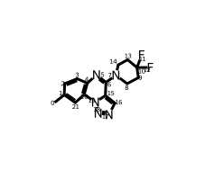 Cc1ccc2nc(N3CCC(F)(F)CC3)c3cnnn3c2c1